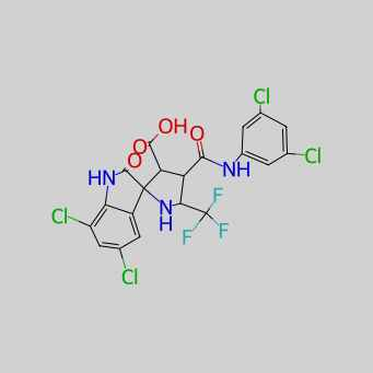 O=C(Nc1cc(Cl)cc(Cl)c1)C1C(C(F)(F)F)NC2(C(=O)Nc3c(Cl)cc(Cl)cc32)C1C(=O)O